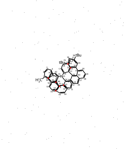 Cc1cccc2sc3c(-c4ccccc4N(C4=CCC(C)C=C4c4cccc5cccc(-c6cc(C(C)(C)C)cc(C(C)(C)C)c6)c45)c4ccccc4-c4ccccc4)cccc3c12